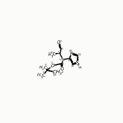 C[C@@H](C=O)N(C(=O)OC(C)(C)C)c1cscn1